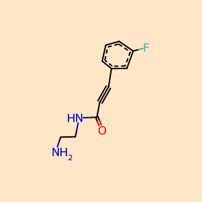 NCCNC(=O)C#Cc1cccc(F)c1